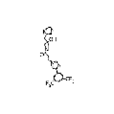 O=C(C=Cn1cnc(-c2cc(C(F)(F)F)cc(C(F)(F)F)c2)n1)N1CC(O)(Cc2cnccn2)C1